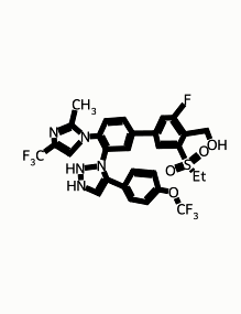 CCS(=O)(=O)c1cc(-c2ccc(-n3cc(C(F)(F)F)nc3C)c(N3NNC=C3c3ccc(OC(F)(F)F)cc3)c2)cc(F)c1CO